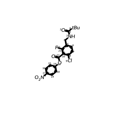 CC(C)(C)C(=O)NCc1ccc(Cl)c(C(=O)Oc2ccc([N+](=O)[O-])cc2)c1F